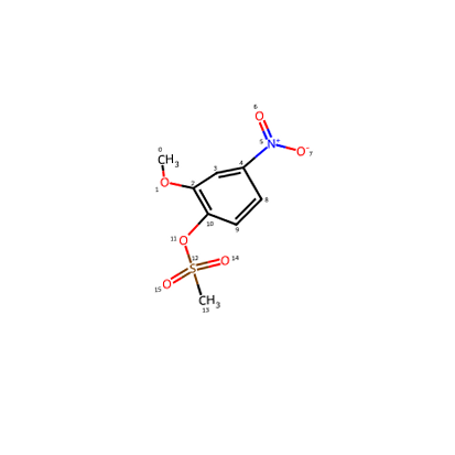 COc1cc([N+](=O)[O-])ccc1OS(C)(=O)=O